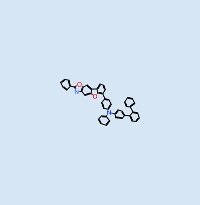 c1ccc(-c2nc3cc4oc5c(-c6ccc(N(c7ccccc7)c7ccc(-c8ccccc8-c8ccccc8)cc7)cc6)cccc5c4cc3o2)cc1